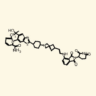 CC(C)(O)c1cc2nc(C3CCC(N4CC5(CC(CCNc6cccc7c6C(=O)N(C6CCC(=O)NC6=O)C7=O)C5)C4)CC3)sc2cc1N1C(C(F)(F)F)=CC=CC1C(N)=O